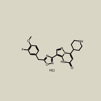 COc1ccc(Cc2nc(-c3cnn4c(C5CCNCC5)cc(=O)[nH]c34)no2)cc1F.Cl